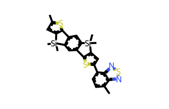 Cc1cc2c(s1)-c1cc3c(cc1[Si]2(C)C)-c1sc(-c2ccc(C)c4nsnc24)cc1[Si]3(C)C